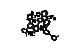 Cc1cccc(-c2ccc3c(c2)c2ccccc2n3-c2cc(C#N)ccc2-c2ccc(-c3c(C(F)(F)F)cccc3C(F)(F)F)cc2-n2c3ccccc3c3cc(-c4cccc(C)c4)ccc32)c1